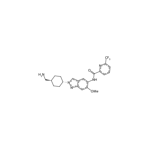 COc1cc2nn([C@H]3CC[C@H](CN)CC3)cc2cc1NC(=O)c1cccc(C(F)(F)F)n1